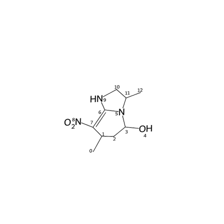 CC1CC(O)N2C(=C1[N+](=O)[O-])NCC2C